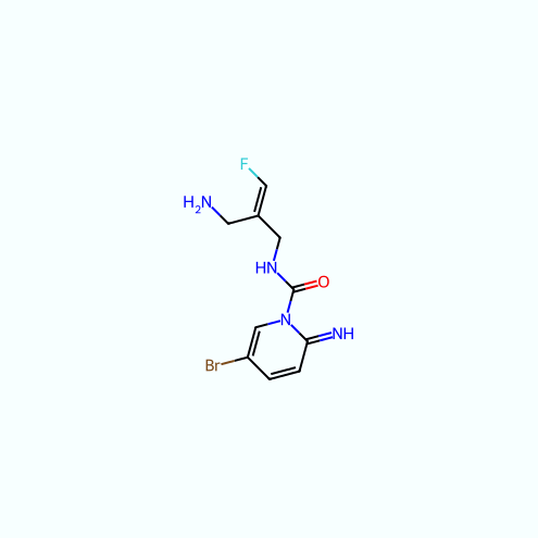 N=c1ccc(Br)cn1C(=O)NC/C(=C/F)CN